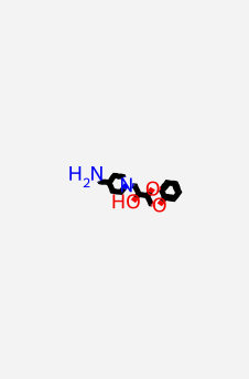 NCC1CCN(CC(O)C2COc3ccccc3O2)CC1